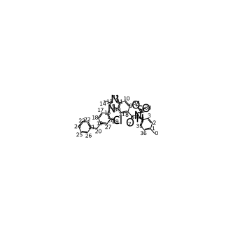 Cc1ccc(N(C(=O)c2ccc3nc(C)n(-c4ccc(Cc5ccccc5)cc4Cl)c3c2)[SH](=O)=O)cc1